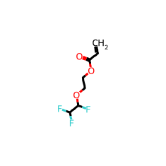 C=CC(=O)OCCOC(F)C(F)F